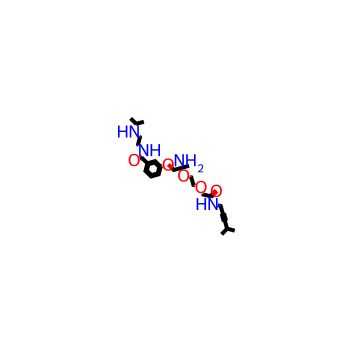 CC(C)C#CCNC(=O)COCCOC(C)(N)COc1cccc(C(=O)NCCNC(C)C)c1